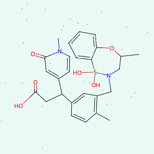 Cc1ccc(C(CC(=O)O)c2ccn(C)c(=O)c2)cc1CN1CC(C)Oc2ccccc2S1(O)O